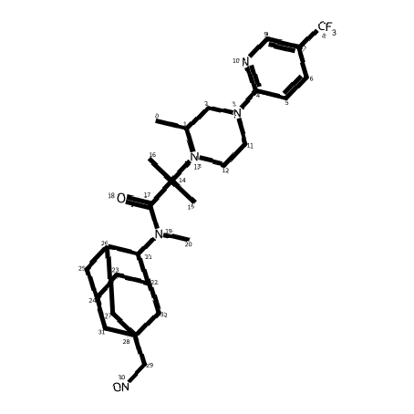 CC1CN(c2ccc(C(F)(F)F)cn2)CCN1C(C)(C)C(=O)N(C)C1C2CC3CC1CC(CN=O)(C3)C2